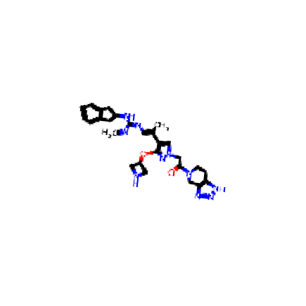 C=N/C(=N\C=C(/C)c1cn(CC(=O)N2CCc3[nH]nnc3C2)nc1OC1CNC1)NC1Cc2ccccc2C1